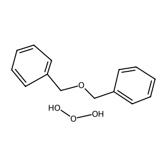 OOO.c1ccc(COCc2ccccc2)cc1